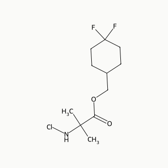 CC(C)(NCl)C(=O)OCC1CCC(F)(F)CC1